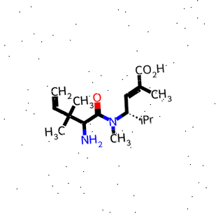 C=CC(C)(C)C(N)C(=O)N(C)[C@H](C=C(C)C(=O)O)C(C)C